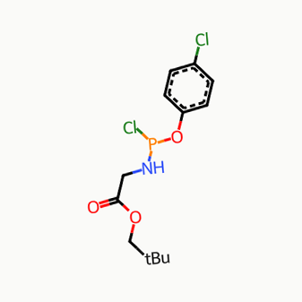 CC(C)(C)COC(=O)CNP(Cl)Oc1ccc(Cl)cc1